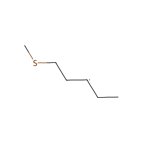 CC[CH]CCSC